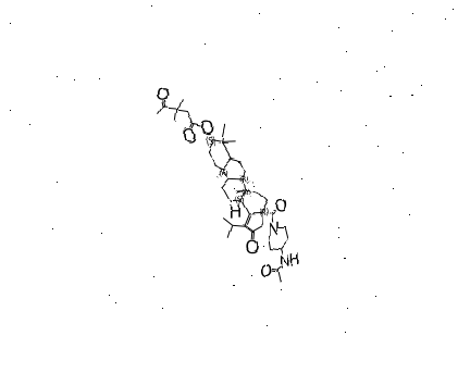 CC(=O)NC1CCN(C(=O)[C@@]23CC[C@]4(C)[C@H](CCC5[C@@]6(C)CC[C@H](OC(=O)CC(C)(C)C(C)=O)C(C)(C)C6CC[C@]54C)C2=C(C(C)C)C(=O)C3)CC1